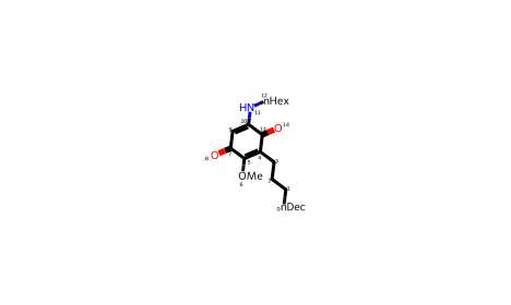 CCCCCCCCCCCCCC1=C(OC)C(=O)C=C(NCCCCCC)C1=O